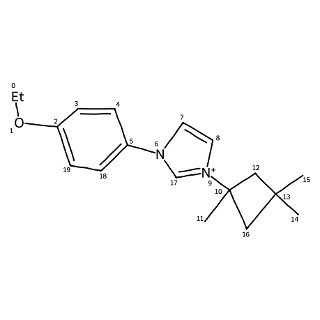 CCOc1ccc(-n2cc[n+](C3(C)CC(C)(C)C3)c2)cc1